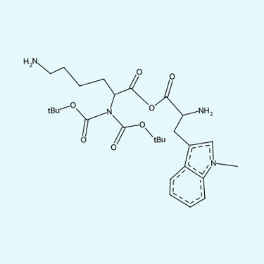 Cn1cc(CC(N)C(=O)OC(=O)C(CCCCN)N(C(=O)OC(C)(C)C)C(=O)OC(C)(C)C)c2ccccc21